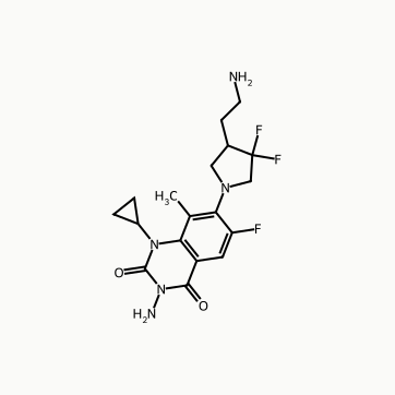 Cc1c(N2CC(CCN)C(F)(F)C2)c(F)cc2c(=O)n(N)c(=O)n(C3CC3)c12